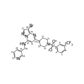 O=S(=O)(c1cccc(C(F)(F)F)c1)N1CCC(c2cc(NCc3cccnc3)n3ncc(Br)c3n2)CC1